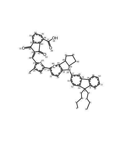 CCCCC1(CCCC)c2ccccc2-c2cc(N3c4ccc(-c5cc(C)c(/C=C6/C(=O)c7cccc(C(=O)O)c7C6=O)s5)cc4C4CCCC43)ccc21